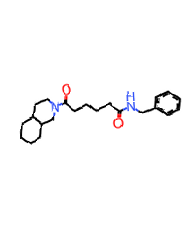 O=C(CCCCC(=O)N1CCC2CCCCC2C1)NCc1ccccc1